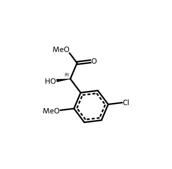 COC(=O)[C@H](O)c1cc(Cl)ccc1OC